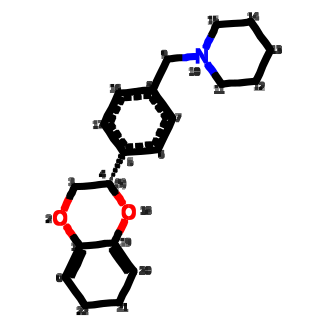 C1=C2OC[C@H](c3ccc(CN4CCCCC4)cc3)OC2=CCC1